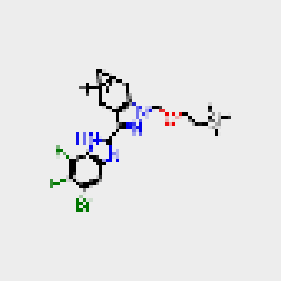 C[C@@]12Cc3c(c(-c4nc5cc(Br)c(F)c(F)c5[nH]4)nn3COCC[Si](C)(C)C)C[C@@H]1C2